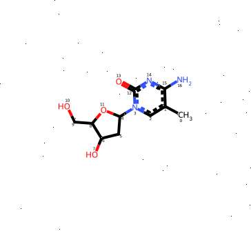 Cc1cn(C2CC(O)C(CO)O2)c(=O)nc1N